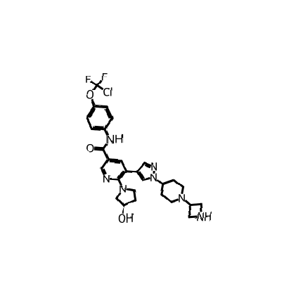 O=C(Nc1ccc(OC(F)(F)Cl)cc1)c1cnc(N2CC[C@@H](O)C2)c(-c2cnn(C3CCN(C4CNC4)CC3)c2)c1